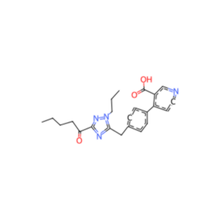 CCCCC(=O)c1nc(Cc2ccc(-c3ccncc3C(=O)O)cc2)n(CCC)n1